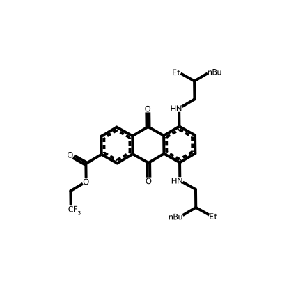 CCCCC(CC)CNc1ccc(NCC(CC)CCCC)c2c1C(=O)c1ccc(C(=O)OCC(F)(F)F)cc1C2=O